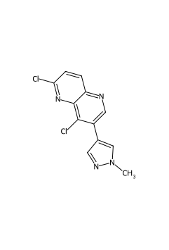 Cn1cc(-c2cnc3ccc(Cl)nc3c2Cl)cn1